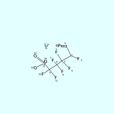 CCCCCC(F)C(F)(F)C(F)(F)C(F)(F)S(=O)(=O)[O-].[Li+]